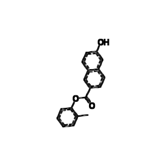 Cc1ccccc1OC(=O)c1ccc2cc(O)ccc2c1